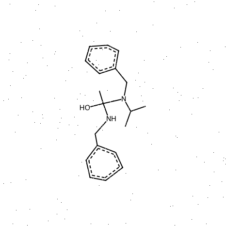 CC(C)N(Cc1ccccc1)C(C)(O)NCc1ccccc1